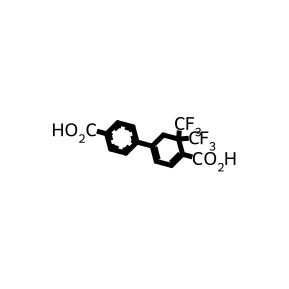 O=C(O)C1=CC=C(c2ccc(C(=O)O)cc2)CC1(C(F)(F)F)C(F)(F)F